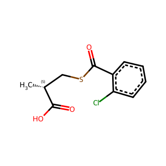 C[C@H](CSC(=O)c1ccccc1Cl)C(=O)O